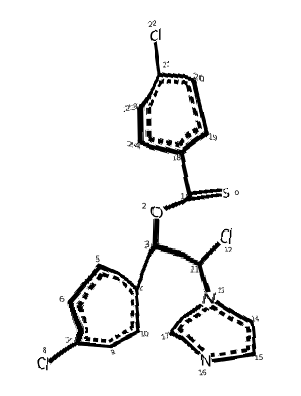 S=C(OC(c1ccc(Cl)cc1)C(Cl)n1ccnc1)c1ccc(Cl)cc1